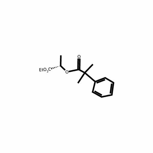 CCOC(=O)[C@H](C)OC(=O)C(C)(C)c1ccccc1